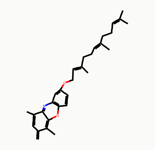 C=c1cc(C)c2c(c1C)Oc1ccc(OC/C=C(\C)CC/C=C(\C)CCC=C(C)C)cc1N=2